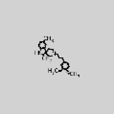 C=Cc1cc(CCCN2CCC3(CC2)C(=C)Nc2ccc(C)cc23)ccc1SC